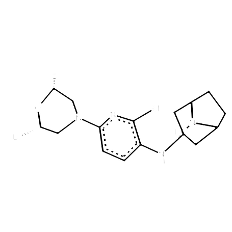 CC[C@@H]1CN(c2ccc(NC3CC4CCC(C3)N4C)c(C)n2)C[C@H](CC)O1